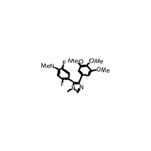 CNc1cc(F)c(-c2c(-c3cc(OC)c(OC)c(OC)c3)ncn2C)cc1F